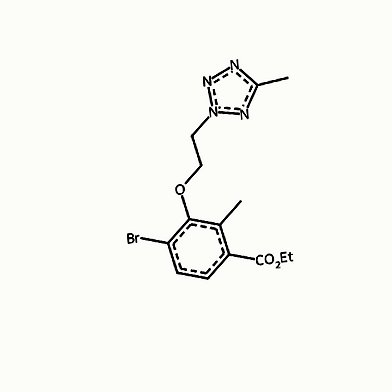 CCOC(=O)c1ccc(Br)c(OCCn2nnc(C)n2)c1C